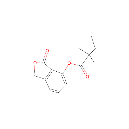 CCC(C)(C)C(=O)Oc1cccc2c1C(=O)OC2